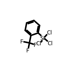 FC(F)(F)c1ccccc1[Si](Cl)(Cl)Cl